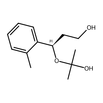 Cc1ccccc1[C@@H](CCO)OC(C)(C)O